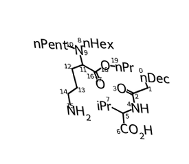 CCCCCCCCCCCC(=O)NC(C(=O)O)C(C)C.CCCCCCN(CCCCC)C(CCCN)C(=O)OCCC